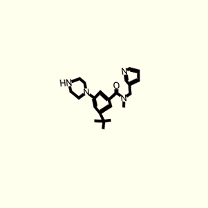 CN(Cc1cccnc1)C(=O)c1cc(N2CCNCC2)cc(C(C)(C)C)c1